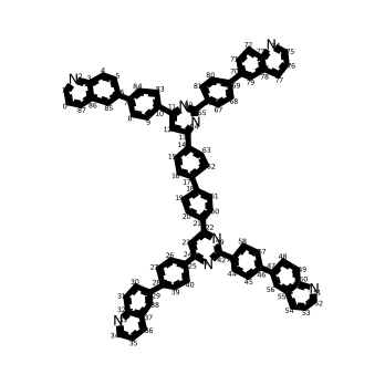 c1cnc2ccc(-c3ccc(-c4cc(-c5ccc(-c6ccc(-c7cc(-c8ccc(-c9ccc%10ncccc%10c9)cc8)nc(-c8ccc(-c9ccc%10ncccc%10c9)cc8)n7)cc6)cc5)nc(-c5ccc(-c6ccc7ncccc7c6)cc5)n4)cc3)cc2c1